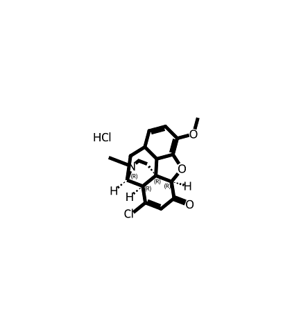 COC1=C2O[C@H]3C(=O)C=C(Cl)[C@H]4[C@H]5CC(C=C1)C2[C@@]34CCN5C.Cl